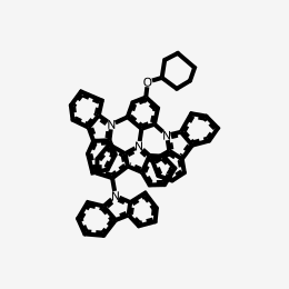 c1ccc2c(c1)c1ccccc1n2-c1cc(OC2CCCCC2)cc(-n2c3ccccc3c3ccccc32)c1-n1c2ccccc2c2c(-n3c4ccccc4c4ccccc43)cccc21